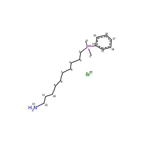 C[P+](C)(CCCCCCCCCCN)c1ccccc1.[Br-]